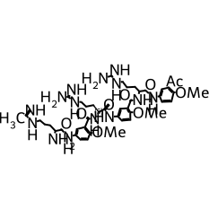 COc1ccc(NC(=O)C(CCCNC(=N)N)NC(=O)c2cc(NC(=O)[C@H](CCCNC(=N)N)NC(=O)c3cc(NC(=O)C(N)CCCNC(C)=N)ccc3OC)ccc2OC)cc1C(C)=O